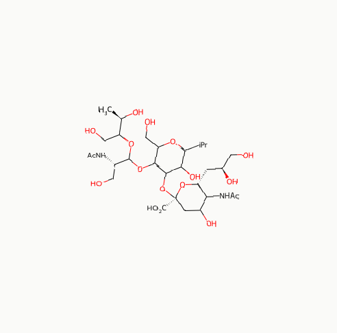 CC(=O)NC1C(O)C[C@](OC2C(O)C(C(C)C)OC(CO)C2OC(OC(CO)[C@@H](C)O)[C@H](CO)NC(C)=O)(C(=O)O)O[C@@H]1C[C@H](O)CO